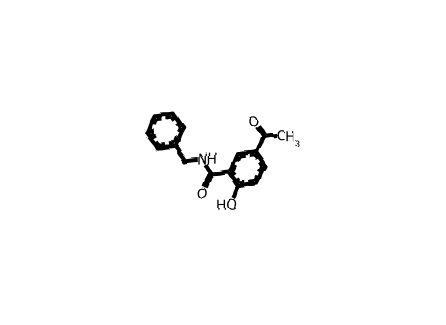 CC(=O)c1ccc(O)c(C(=O)NCc2ccccc2)c1